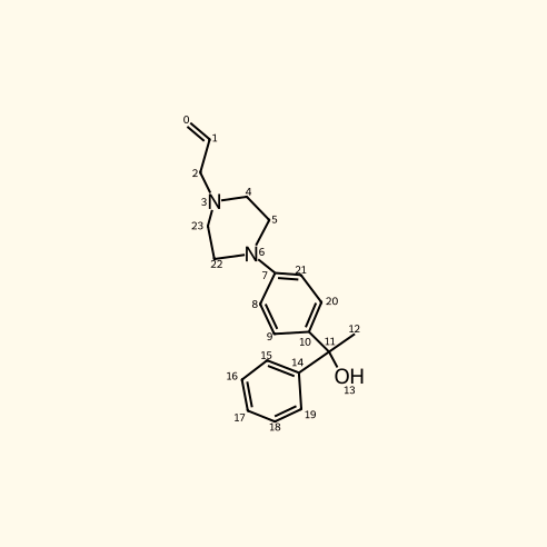 C=CCN1CCN(c2ccc(C(C)(O)c3ccccc3)cc2)CC1